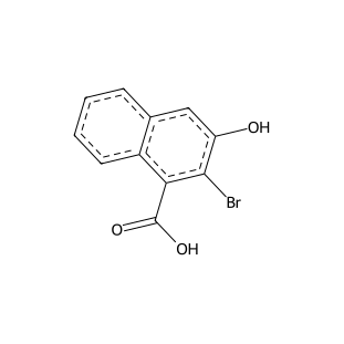 O=C(O)c1c(Br)c(O)cc2ccccc12